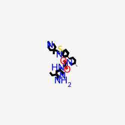 CCc1cc(NC(=O)C(=O)N2C[C@@H](C)CC[C@@H]2c2ccc3sc(C4(C)CCN(C)CC4)nc3c2)cnc1N